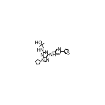 CC(C)(O)CNc1nc(NCc2ccc(-c3ccsc3)nc2)c2ncn(C3CCCC3)c2n1